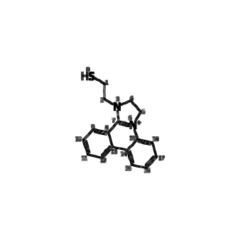 SCCN1CC[n+]2c1c1ccccc1c1ccccc12